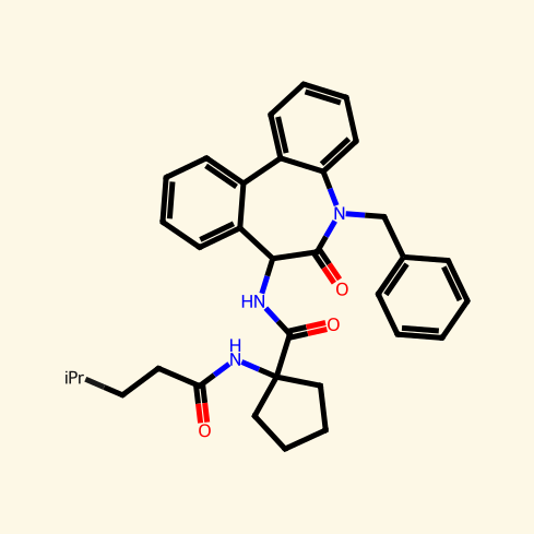 CC(C)CCC(=O)NC1(C(=O)NC2C(=O)N(Cc3ccccc3)c3ccccc3-c3ccccc32)CCCC1